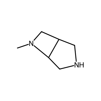 CN1CC2CNCC21